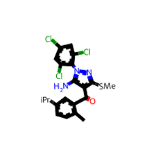 CSc1nn(-c2c(Cl)cc(Cl)cc2Cl)c(N)c1C(=O)c1cc(C(C)C)ccc1C